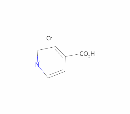 O=C(O)c1ccncc1.[Cr]